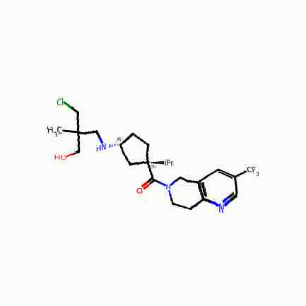 CC(C)[C@]1(C(=O)N2CCc3ncc(C(F)(F)F)cc3C2)CC[C@@H](NCC(C)(CO)CCl)C1